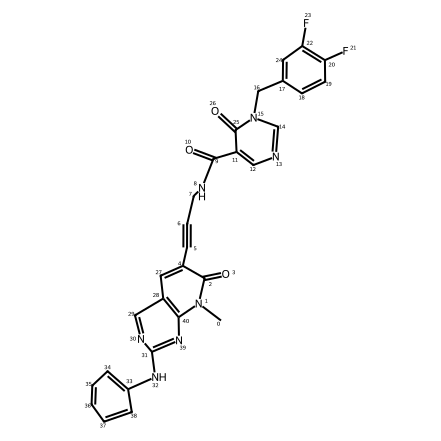 Cn1c(=O)c(C#CCNC(=O)c2cncn(Cc3ccc(F)c(F)c3)c2=O)cc2cnc(Nc3ccccc3)nc21